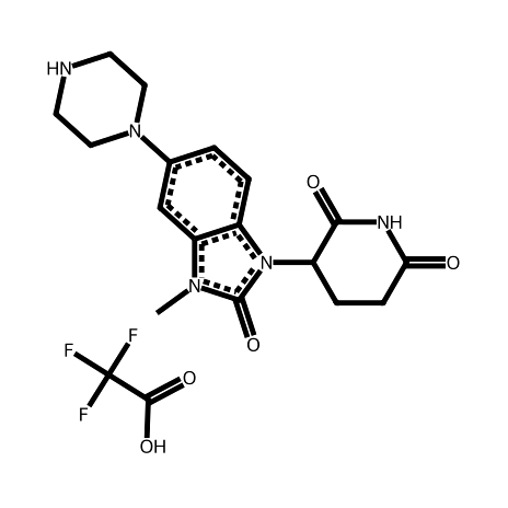 Cn1c(=O)n(C2CCC(=O)NC2=O)c2ccc(N3CCNCC3)cc21.O=C(O)C(F)(F)F